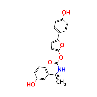 C[C@H](NC(=O)Oc1ccc(-c2ccc(O)cc2)o1)c1cccc(O)c1